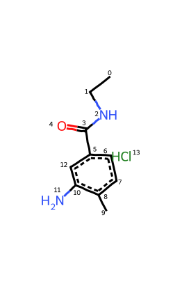 CCNC(=O)c1ccc(C)c(N)c1.Cl